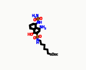 CCCCCCCCCCCCCCCCNS(=O)(=O)c1cc(N)c2c(NS(N)(=O)=O)cccc2c1O